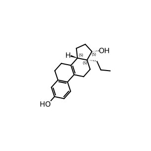 CCC[C@]12CCC3=C(CCc4cc(O)ccc43)[C@@H]1CC[C@@H]2O